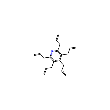 C=CCc1nc(CC=C)c(CC=C)c(CC=C)c1CC=C